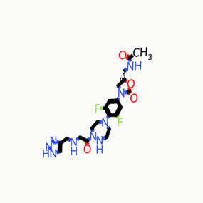 CC(=O)NC[C@H]1CN(c2cc(F)c(N3CCNN(C(=O)CNCc4c[nH]nn4)CC3)c(F)c2)C(=O)O1